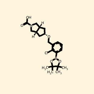 CC1(C)OB(c2cccc(CO[C@@H]3C[C@@H]4CN(C(=O)O)C[C@@H]4C3)c2Cl)OC1(C)C